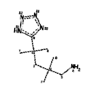 CC(C)(CN)CC(C)(C)c1nnn[nH]1